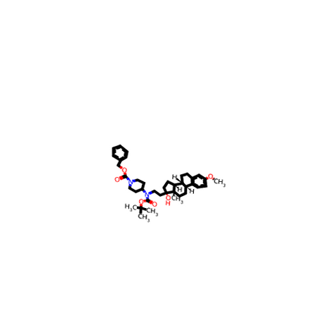 COc1ccc2c(c1)CC[C@@H]1[C@@H]2CC[C@@]2(C)[C@H]1CC[C@@]2(O)CCN(C(=O)OC(C)(C)C)C1CCN(C(=O)OCc2ccccc2)CC1